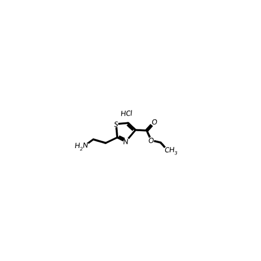 CCOC(=O)c1csc(CCN)n1.Cl